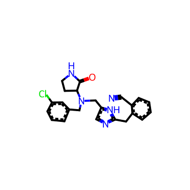 N#Cc1ccccc1Cc1ncc(CN(Cc2cccc(Cl)c2)C2CCNC2=O)[nH]1